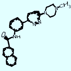 CN1CCN(c2ccc(-c3cccc(NC(=O)c4ccc5ccccc5c4)c3)nn2)CC1